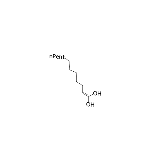 CCCCCCCCCCC=C(O)O